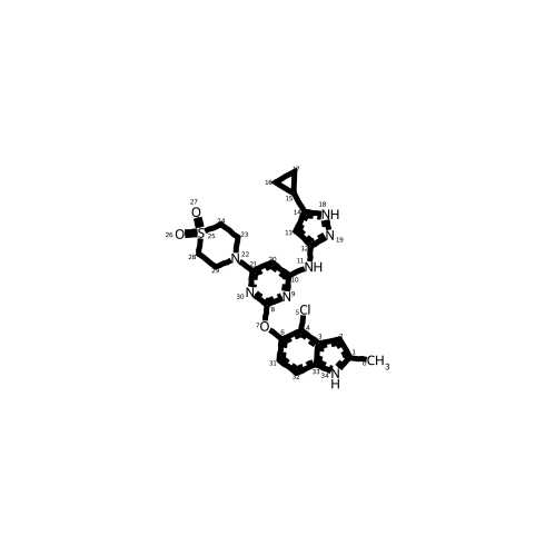 Cc1cc2c(Cl)c(Oc3nc(Nc4cc(C5CC5)[nH]n4)cc(N4CCS(=O)(=O)CC4)n3)ccc2[nH]1